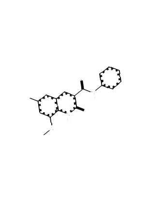 CNc1cc(F)cc2cc(C(=O)Nc3ccccc3)c(=O)[nH]c12